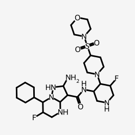 NC1NN2C(NCC(F)C2C2CCCCC2)C1C(=O)NC1CNCC(F)C1N1CCC(S(=O)(=O)N2CCOCC2)CC1